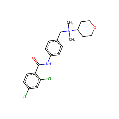 C[N+](C)(Cc1ccc(NC(=O)c2ccc(Cl)cc2Cl)cc1)C1CCOCC1